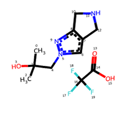 CC(C)(O)Cn1cc2c(n1)CNC2.O=C(O)C(F)(F)F